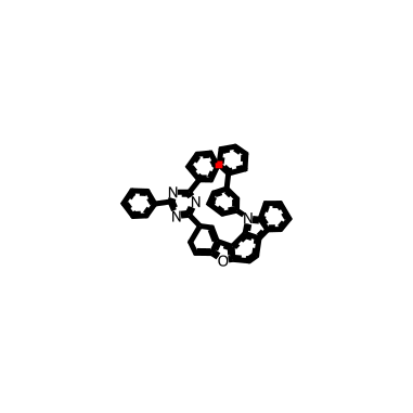 C1=c2oc3ccc4c5ccccc5n(-c5cccc(-c6ccccc6)c5)c4c3c2=CC(c2nc(-c3ccccc3)nc(-c3ccccc3)n2)C1